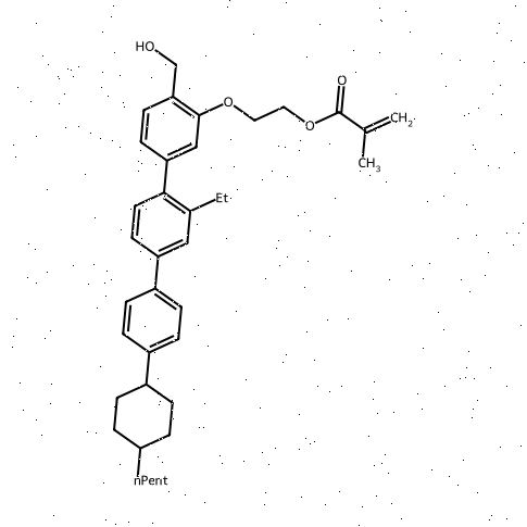 C=C(C)C(=O)OCCOc1cc(-c2ccc(-c3ccc(C4CCC(CCCCC)CC4)cc3)cc2CC)ccc1CO